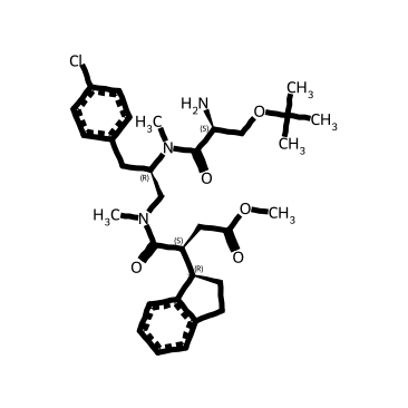 COC(=O)C[C@H](C(=O)N(C)C[C@@H](Cc1ccc(Cl)cc1)N(C)C(=O)[C@@H](N)COC(C)(C)C)[C@H]1CCc2ccccc21